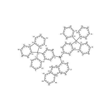 c1ccc(C2(c3ccc(N(c4ccc5c(c4)-c4ccccc4C5(c4ccccc4)c4ccccc4)c4cccc5c4sc4ccccc45)cc3)c3ccccc3-c3ccccc32)cc1